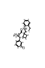 NC(=O)[C@]1([C@H]2CCc3ccccc3N2)CC[C@@H]1C(N)c1cccc(Cl)c1